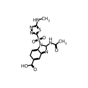 CNc1nnc(S(=O)(=O)N2C3=CCC(C(=O)O)=CC3=NC2NC(C)=O)s1